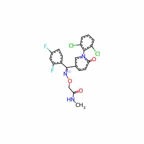 CNC(=O)CO/N=C(\c1ccc(=O)n(-c2c(Cl)cccc2Cl)c1)c1ccc(F)cc1F